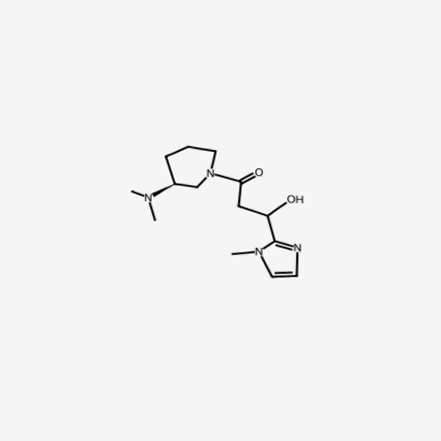 CN(C)[C@H]1CCCN(C(=O)CC(O)c2nccn2C)C1